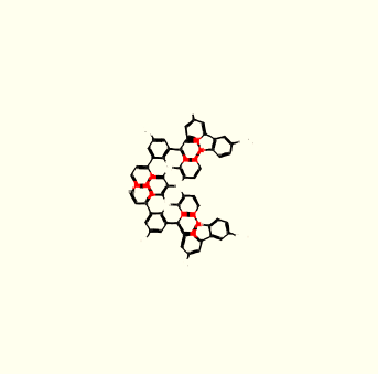 [C-]#[N+]c1ccc2c(c1)c1cc(C(C)(C)C)ccc1n2-c1ccc2c(c1)N(c1c(-c3ccccc3)cc(C(C)(C)C)cc1-c1ccccc1)c1cc(C(C)(C)C)cc3c1B2c1ccc(-n2c4ccc(C#N)cc4c4cc(C(C)(C)C)ccc42)cc1N3c1c(-c2ccccc2)cc(C(C)(C)C)cc1-c1ccccc1